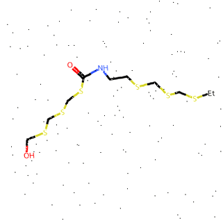 CCSCSCSCCNC(=O)SCSCSCO